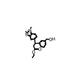 CCOC(=O)CC(c1cccc(CO)c1)c1ccc2c(c1)nnn2C